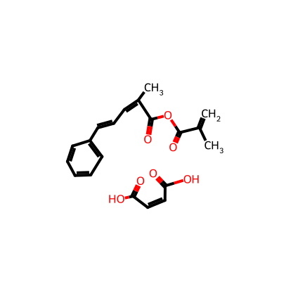 C=C(C)C(=O)OC(=O)C(C)=CC=Cc1ccccc1.O=C(O)/C=C\C(=O)O